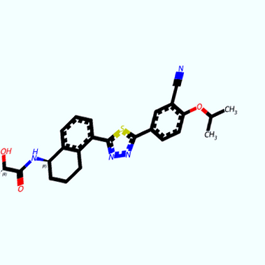 CC(C)Oc1ccc(-c2nnc(-c3cccc4c3CCC[C@H]4NC(=O)[C@H](N)O)s2)cc1C#N